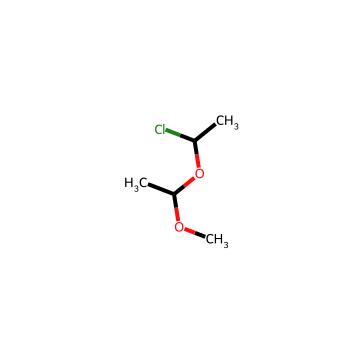 COC(C)OC(C)Cl